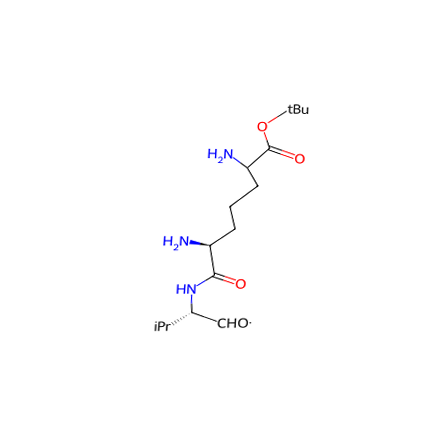 CC(C)[C@@H]([C]=O)NC(=O)[C@@H](N)CCCC(N)C(=O)OC(C)(C)C